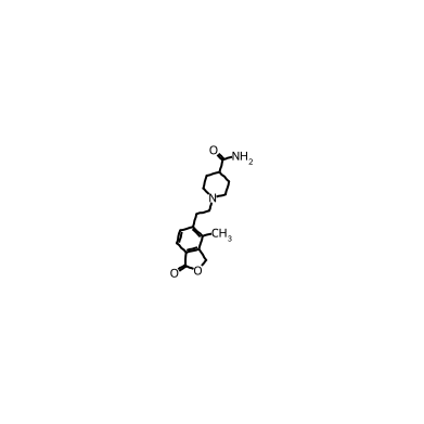 Cc1c(CCN2CCC(C(N)=O)CC2)ccc2c1COC2=O